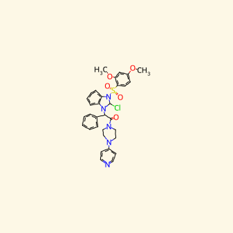 COc1ccc(S(=O)(=O)N2c3ccccc3N(C(C(=O)N3CCN(c4ccncc4)CC3)c3ccccc3)C2Cl)c(OC)c1